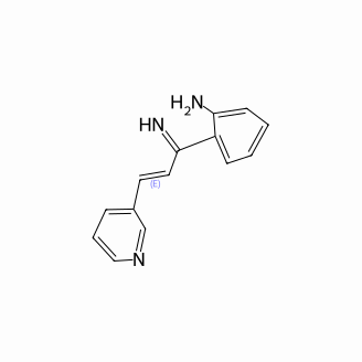 N=C(/C=C/c1cccnc1)c1ccccc1N